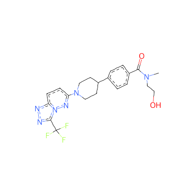 CN(CCO)C(=O)c1ccc(C2CCN(c3ccc4nnc(C(F)(F)F)n4n3)CC2)cc1